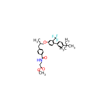 COC(=O)CCNC(=O)c1ccc(CC(C)COc2ccc(-c3ccc(C(C)(C)C)cc3)c(C(F)(F)F)c2)cc1